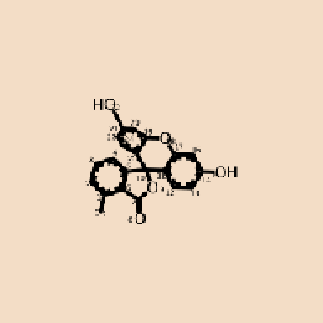 [CH]c1cccc2c1C(=O)OC21c2ccc(O)cc2Oc2cc(O)ccc21